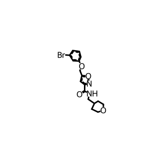 O=C(NCC1CCOCC1)c1cc(COc2cccc(Br)c2)on1